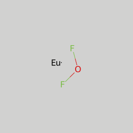 FOF.[Eu]